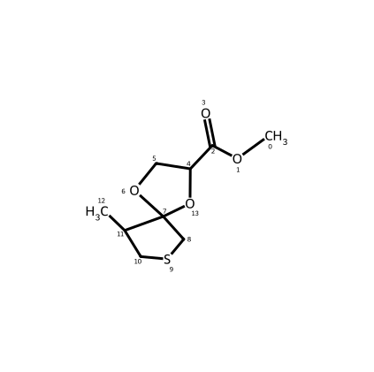 COC(=O)C1COC2(CSCC2C)O1